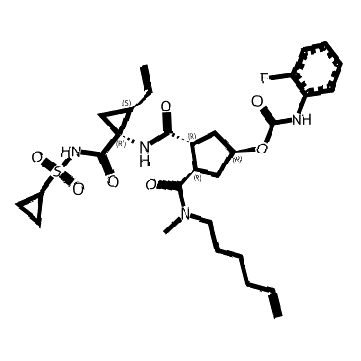 C=CCCCCN(C)C(=O)[C@@H]1C[C@H](OC(=O)Nc2ccccc2F)C[C@H]1C(=O)N[C@]1(C(=O)NS(=O)(=O)C2CC2)C[C@H]1C=C